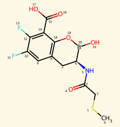 CSCC(=O)N[C@H]1Cc2cc(F)c(F)c(C(=O)O)c2OB1O